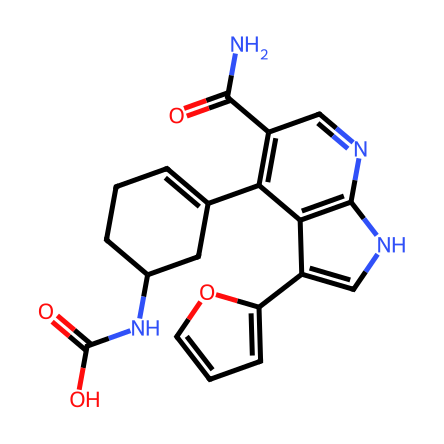 NC(=O)c1cnc2[nH]cc(-c3ccco3)c2c1C1=CCCC(NC(=O)O)C1